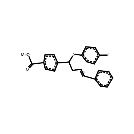 COC(=O)c1ccc(C(C/C=C/c2ccccc2)Sc2ccc(F)cc2)cc1